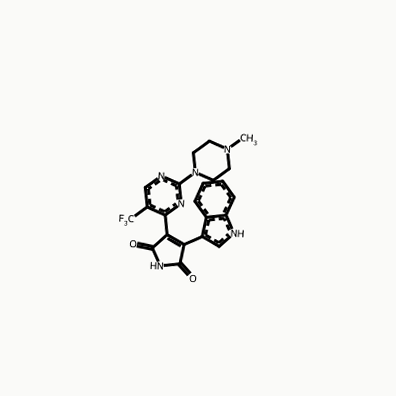 CN1CCN(c2ncc(C(F)(F)F)c(C3=C(c4c[nH]c5ccccc45)C(=O)NC3=O)n2)CC1